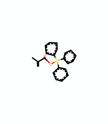 C=C(C)C(=O)OS(c1ccccc1)(c1ccccc1)c1ccccc1